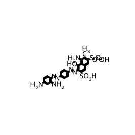 Cc1c(SOOO)cc2cc(S(=O)(=O)O)c(N=Nc3ccc(N=Nc4ccc(N)cc4N)cc3)c(O)c2c1N